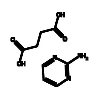 Nc1ncccn1.O=C(O)CCC(=O)O